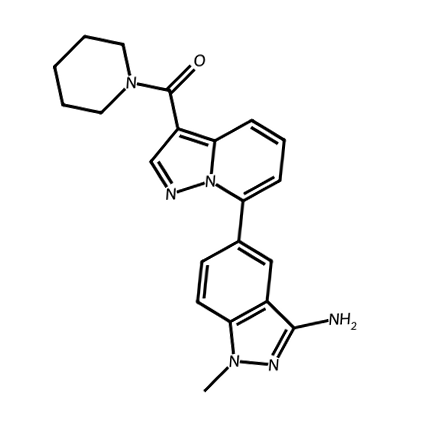 Cn1nc(N)c2cc(-c3cccc4c(C(=O)N5CCCCC5)cnn34)ccc21